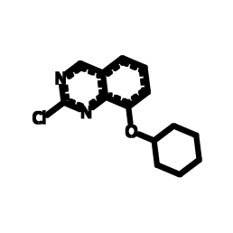 Clc1ncc2cccc(OC3CCCCC3)c2n1